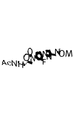 CO/N=C/c1ccn(-c2ccc(N3C[C@H](CNC(C)=O)OC3=O)cc2F)n1